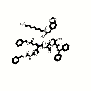 CCCCCCCC[S+]([O-])C(C)Cc1ccc2c(c1)OCO2.O=C(C/C=C(/C(=O)N[C@@H]1C(=O)N2C(C(=O)OC(c3ccccc3)c3ccccc3)=C(O)CS[C@H]12)c1csc(NC(=O)OCc2ccccc2)n1)OCc1ccccc1